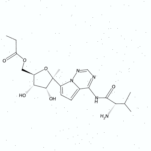 CCC(=O)OC[C@H]1O[C@@](C)(c2ccc3c(NC(=O)[C@@H](N)C(C)C)ncnn23)[C@H](O)[C@@H]1O